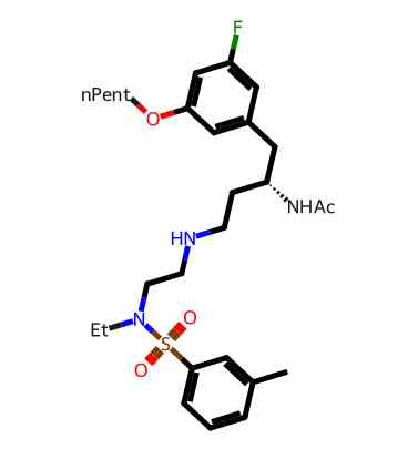 CCCCCOc1cc(F)cc(C[C@@H](CCNCCN(CC)S(=O)(=O)c2cccc(C)c2)NC(C)=O)c1